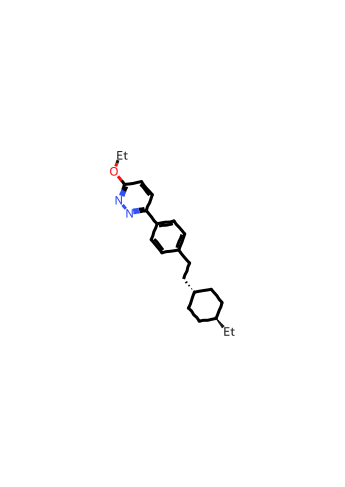 CCOc1ccc(-c2ccc(CC[C@H]3CC[C@H](CC)CC3)cc2)nn1